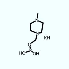 CN1CCN(COB(O)O)CC1.[KH]